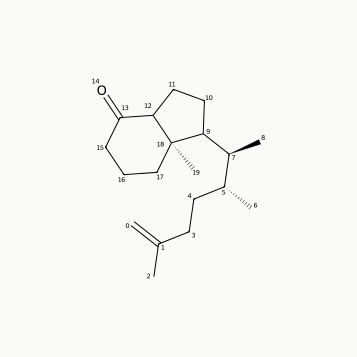 C=C(C)CC[C@@H](C)[C@H](C)C1CCC2C(=O)CCC[C@@]21C